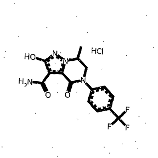 CC1CN(c2ccc(C(F)(F)F)cc2)C(=O)c2c(C(N)=O)c(O)nn21.Cl